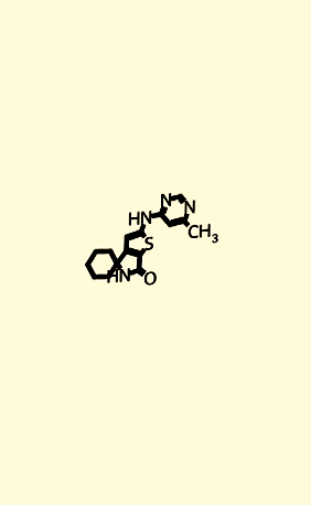 Cc1cc(Nc2cc3c(s2)C(=O)NC32CCCCC2)ncn1